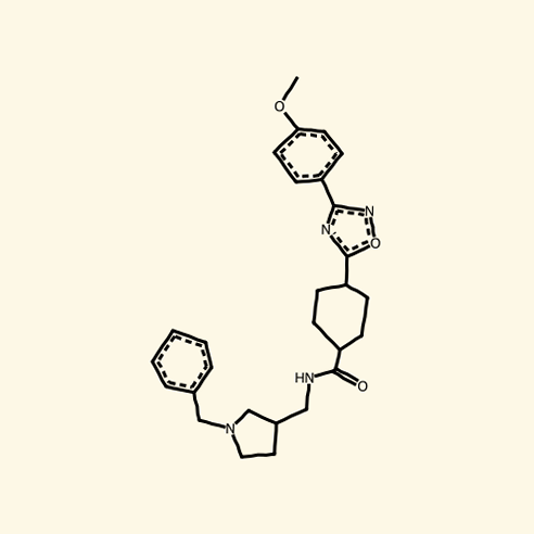 COc1ccc(-c2noc(C3CCC(C(=O)NCC4CCN(Cc5ccccc5)C4)CC3)n2)cc1